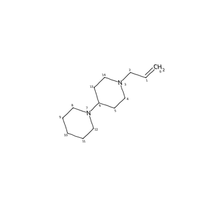 C=CCN1CCC(N2CCCCC2)CC1